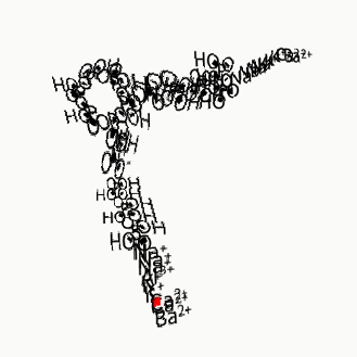 O=P(O)(O)O.O=P(O)(O)O.O=P(O)(O)O.O=P(O)(O)O.O=P(O)(O)OP(=O)(O)O.O=P1(O)OP(=O)(O)OP(=O)(O)OP(=O)(O)OP(=O)(O)OP(=O)(O)O1.O=S(=O)(O)O.O=[N+]([O-])O.O=[N+]([O-])O.[Al+3].[Ba+2].[Ba+2].[Ca+2].[Ca+2].[Ca+2].[K+].[K+].[K+].[K+].[K+].[Na+].[Na+].[Na+].[Na+].[Na+].[Na+].[Na+]